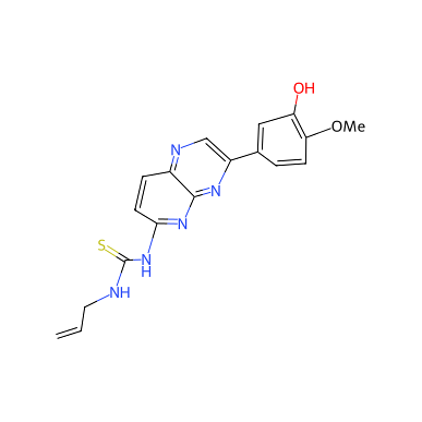 C=CCNC(=S)Nc1ccc2ncc(-c3ccc(OC)c(O)c3)nc2n1